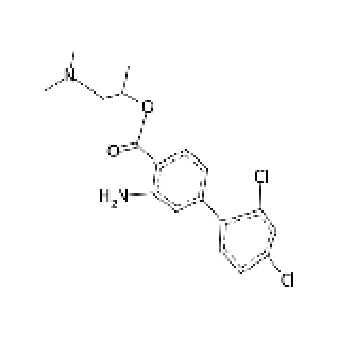 CC(CN(C)C)OC(=O)c1ccc(-c2ccc(Cl)cc2Cl)cc1N